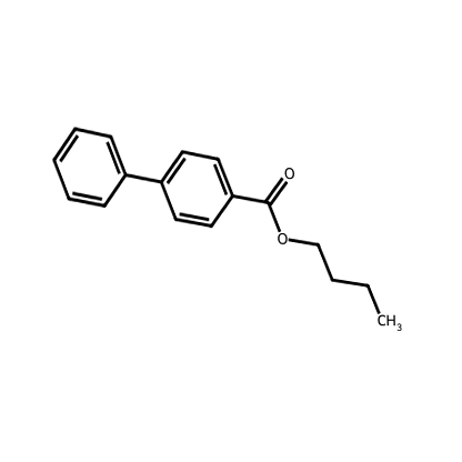 CCCCOC(=O)c1ccc(-c2ccccc2)cc1